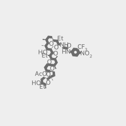 CC[C@@H](C(=O)[C@@H](C)[C@@H](O)[C@H](C)[C@@H]1O[C@@H]([C@@H](CC)C(=O)NCC(=O)Nc2ccc([N+](=O)[O-])c(C(F)(F)F)c2)CC[C@@H]1C)[C@H]1O[C@]2(C=C[C@@H](OC(C)=O)[C@]3(CC[C@@](C)([C@H]4CC[C@](O)(CC)[C@H](C)O4)O3)O2)[C@H](C)C[C@@H]1C